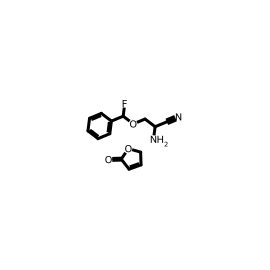 N#CC(N)COC(F)c1ccccc1.O=C1C=CCO1